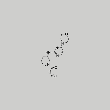 CC(C)(C)OC(=O)N1CCC[C@H](Nc2nccc(N3CCOCC3)n2)C1